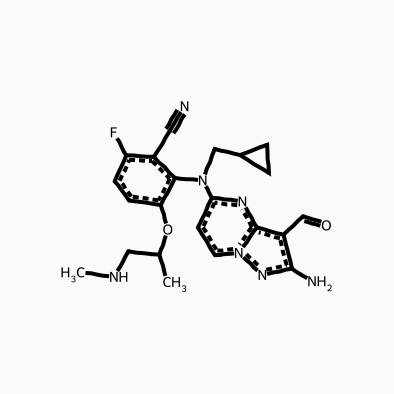 CNCC(C)Oc1ccc(F)c(C#N)c1N(CC1CC1)c1ccn2nc(N)c(C=O)c2n1